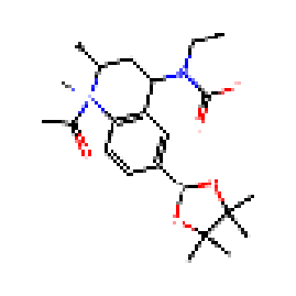 CCN(C(=O)[O-])C1C[C@H](C)[N@+](C)(C(C)=O)c2ccc(B3OC(C)(C)C(C)(C)O3)cc21